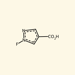 O=C(O)c1cnn(F)c1